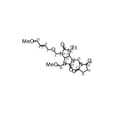 CCN1C(=O)N(COC/C=C/COC)C2C1N(CN1C(=O)CCC1=O)C(=O)N2COC